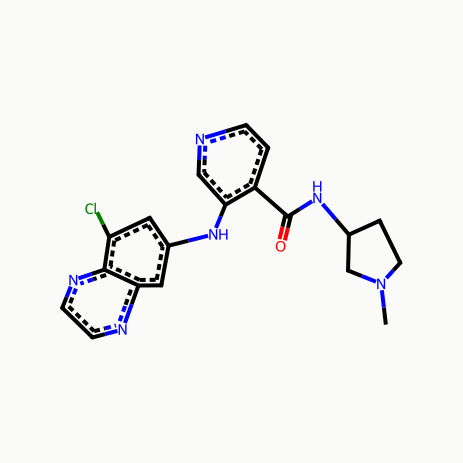 CN1CCC(NC(=O)c2ccncc2Nc2cc(Cl)c3nccnc3c2)C1